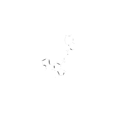 Bc1cnn2c(NCCNC(=O)C3CCCCCC3)cc(-c3ccccc3Cl)nc12